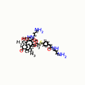 C[C@@H]1C[C@@]2(C)C[C@@]3(CCC2=O)C[C@]1(C)[C@H](OC(=O)CSc1ccc(CC(=O)NCCCN)cc1)C[C@](C)(C(=O)NCCCN)[C@@H](O)[C@@H]3C